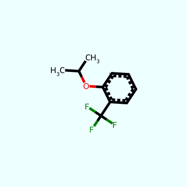 CC(C)Oc1[c]cccc1C(F)(F)F